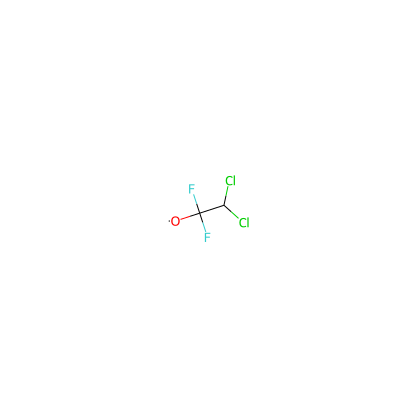 [O]C(F)(F)C(Cl)Cl